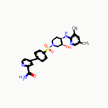 Cc1cnc(N[C@@H]2CCN(S(=O)(=O)c3ccc(-c4ccnc(C(N)=O)c4)cc3)C[C@@H]2O)c(C#N)c1